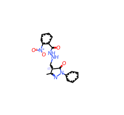 CC1=NN(c2ccccc2)C(=O)/C1=C\NNC(=O)c1ccccc1[N+](=O)[O-]